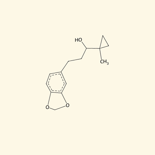 CC1(C(O)CCc2ccc3c(c2)OCO3)CC1